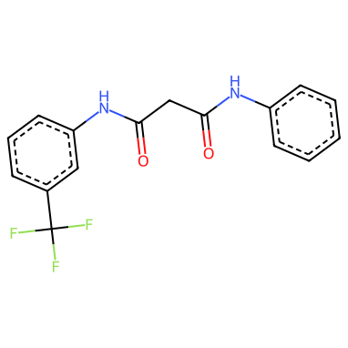 O=C(CC(=O)Nc1cccc(C(F)(F)F)c1)Nc1ccccc1